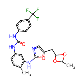 Cc1ccc(NC(=O)Nc2ccc(C(F)(F)F)cc2)cc1Nc1ncc(CC2OC(C)O2)o1